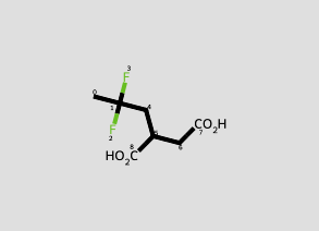 CC(F)(F)CC(CC(=O)O)C(=O)O